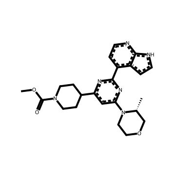 COC(=O)N1CCC(c2cc(N3CCOC[C@H]3C)nc(-c3ccnc4[nH]ccc34)n2)CC1